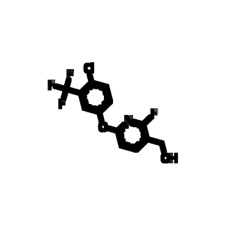 OCc1ccc(Oc2ccc(Cl)c(C(F)(F)F)c2)nc1F